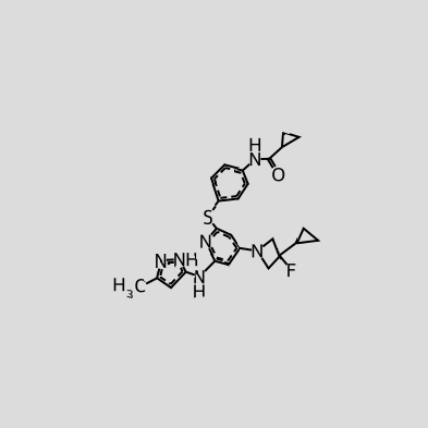 Cc1cc(Nc2cc(N3CC(F)(C4CC4)C3)cc(Sc3ccc(NC(=O)C4CC4)cc3)n2)[nH]n1